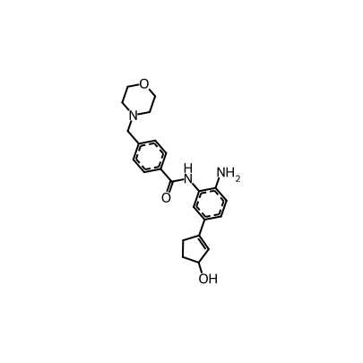 Nc1ccc(C2=CC(O)CC2)cc1NC(=O)c1ccc(CN2CCOCC2)cc1